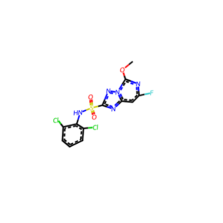 COc1nc(F)cc2nc(S(=O)(=O)Nc3c(Cl)cccc3Cl)nn12